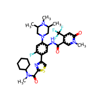 CC1CN(c2cc(F)c(-c3csc(C(=O)N(C)C4CCCCC4)n3)cc2NC(=O)c2cn(C)c(=O)cc2C(F)(F)F)CC(C)N1C